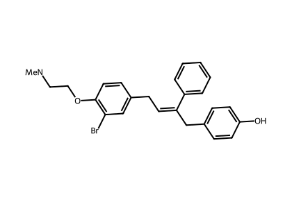 CNCCOc1ccc(CC=C(Cc2ccc(O)cc2)c2ccccc2)cc1Br